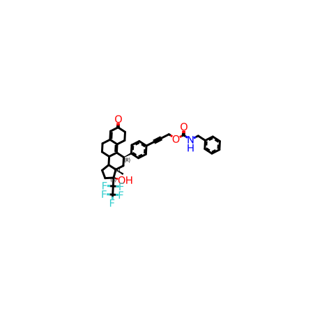 C[C@]12C[C@H](c3ccc(C#CCOC(=O)NCc4ccccc4)cc3)C3=C4CCC(=O)C=C4CCC3C1CC[C@@]2(O)C(F)(F)C(F)(F)F